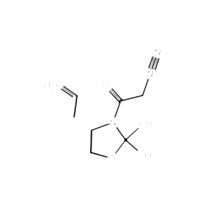 C=CC[C@H]1COC(C)(C)N1C(=O)C[N+]#N